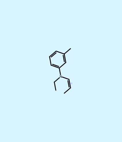 C/C=C\N(CC)c1cccc(C)c1